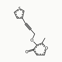 Cc1occc(=O)c1OCC#Cc1ccsc1